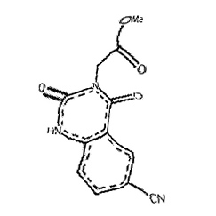 COC(=O)Cn1c(=O)[nH]c2ccc(C#N)cc2c1=O